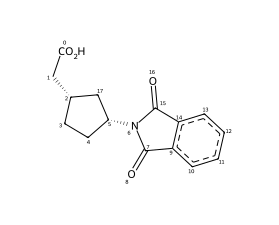 O=C(O)C[C@H]1CC[C@@H](N2C(=O)c3ccccc3C2=O)C1